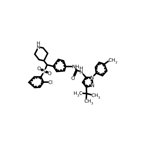 Cc1ccc(-n2nc(C(C)(C)C)cc2NC(=O)Nc2ccc(C(C3CCNCC3)S(=O)(=O)c3ccccc3Cl)cc2)cc1